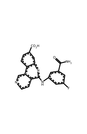 NC(=O)c1cc(F)cc(Nc2nc3cc(C(=O)O)ccc3c3cnccc23)c1